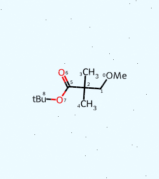 COCC(C)(C)C(=O)OC(C)(C)C